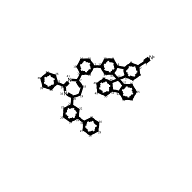 N#Cc1ccc2c(c1)-c1ccc(-c3cccc(C4=CCC(c5cccc(-c6ccccc6)c5)=NC(c5ccccc5)=N4)c3)cc1C21c2ccccc2-c2ccccc21